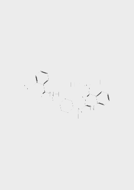 CN(C)c1nc(N[C@H]2CC[C@@H](CNC(=O)c3ccccc3C#N)CC2)nc2ccccc12